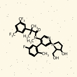 Cc1ccc(F)cc1-c1cc(N2CCC(O)C2CO)ncc1N(C)C(=O)C(C)(C)c1cc(C(F)(F)F)cc(C(F)(F)F)c1